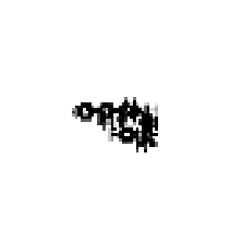 C=CC(=O)Nc1ccc(F)c(Nc2nc(Nc3cnn(C)c3)ncc2-c2ccc(C3=CCN(C)CC3)c(F)c2)c1